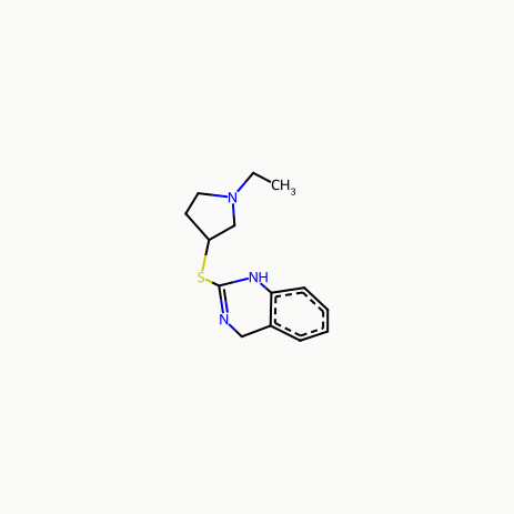 CCN1CCC(SC2=NCc3ccccc3N2)C1